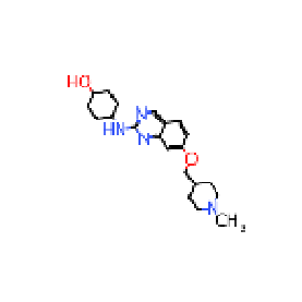 CN1CCC(COc2ccc3cnc(N[C@H]4CC[C@H](O)CC4)nc3c2)CC1